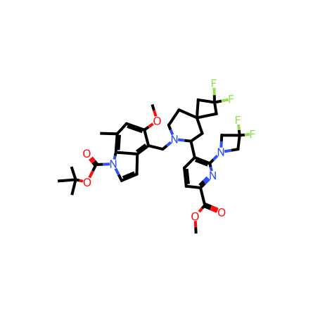 COC(=O)c1ccc(C2CC3(CCN2Cc2c(OC)cc(C)c4c2ccn4C(=O)OC(C)(C)C)CC(F)(F)C3)c(N2CC(F)(F)C2)n1